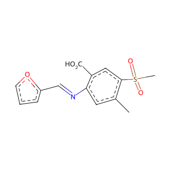 Cc1cc(N=Cc2ccco2)c(C(=O)O)cc1S(C)(=O)=O